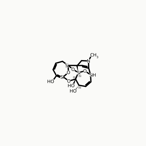 CN1CC[Si@@]23O[SiH]4C=C[C@H](O)[C@]2(O)O[Si]2=C(O)C=CC[Si](C=C14)(O2)O3